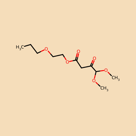 CCCOCCOC(=O)CC(=O)C(OC)OC